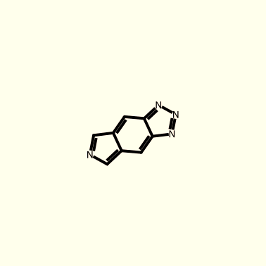 C1=NC=c2cc3c(cc21)=NN=N3